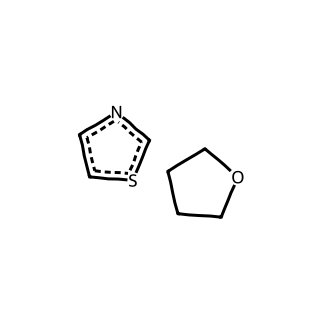 C1CCOC1.c1cscn1